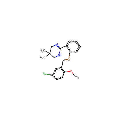 COc1ccc(Br)cc1CSc1ccccc1C1=NCC(C)(C)CN1